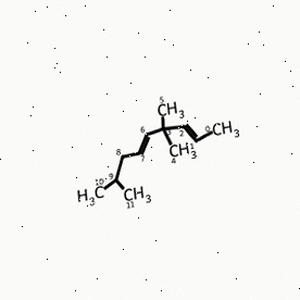 CC=CC(C)(C)C=CCC(C)C